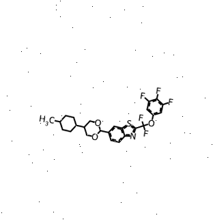 CC1CCC(C2COC(c3ccc4nc(C(F)(F)Oc5cc(F)c(F)c(F)c5)sc4c3)OC2)CC1